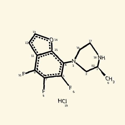 C[C@H]1CN(c2c(F)c(F)c(F)c3ccoc23)CCN1.Cl